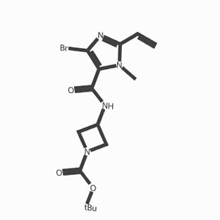 C=Cc1nc(Br)c(C(=O)NC2CN(C(=O)OC(C)(C)C)C2)n1C